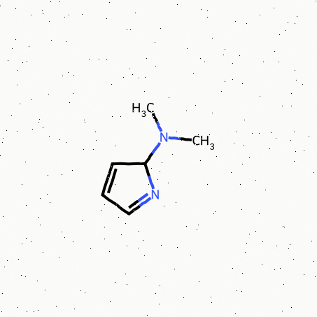 CN(C)C1C=CC=N1